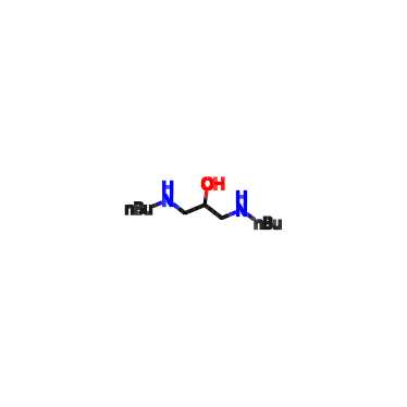 CCCCNCC(O)CNCCCC